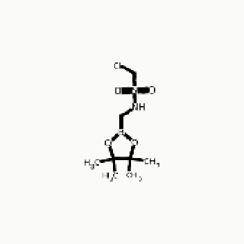 CC1(C)OB(CNS(=O)(=O)CCl)OC1(C)C